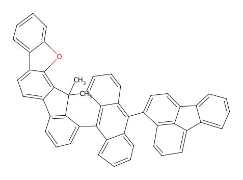 CC1(C)c2c(cccc2-c2c3ccccc3c(-c3ccc4c5c(cccc35)-c3ccccc3-4)c3ccccc23)-c2ccc3c(oc4ccccc43)c21